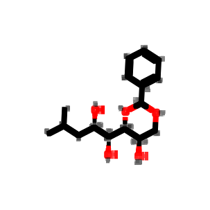 CC(C)C[C@H](O)[C@@H](O)[C@@H]1OC(c2ccccc2)OC[C@H]1O